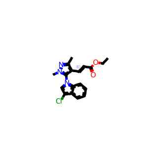 CCOC(=O)/C=C/c1c(C)nn(C)c1-n1cc(Cl)c2ccccc21